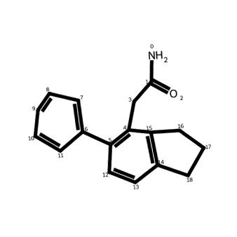 NC(=O)Cc1c(-c2ccccc2)ccc2c1CCC2